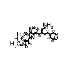 CCn1ncc(-c2nc3c(CC(CCN)CCC4CCOCC4)ncnc3n2C)c1C